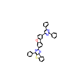 c1ccc(-c2cc(-c3ccc4oc5cc(-c6nc(-c7ccccc7)c7sc8ccccc8c7n6)ccc5c4c3)nc(-c3ccccc3)n2)cc1